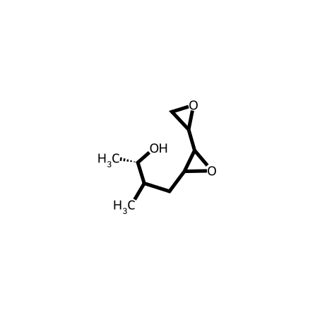 CC(CC1OC1C1CO1)[C@H](C)O